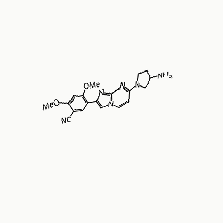 COc1cc(OC)c(-c2cn3ccc(N4CCC(N)C4)nc3n2)cc1C#N